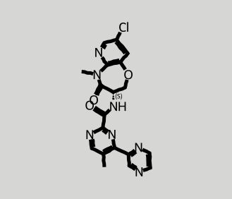 Cc1cnc(C(=O)N[C@H]2COc3cc(Cl)cnc3N(C)C2=O)nc1-c1cnccn1